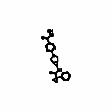 O=C(NO)c1cnc(N2CC3C(C2)C3NC(=O)C2(c3ccccc3)CC2)nc1